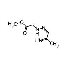 COC(=O)CN/N=C\C(C)=N